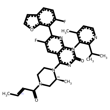 C/C=C/C(=O)N1CCN(c2nc(=O)n(-c3c(C)ccnc3C(C)C)c3nc(-c4c(F)ccc5ccoc45)c(F)cc23)[C@@H](C)C1